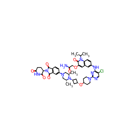 CC(C)n1c(=O)c(OCC(N)=O)cc2cc(Nc3nc(N4CCC(O[C@H]5C[C@H](N6[C@H](C)CN(c7ccc8c(c7)C(=O)N(C7CCC(=O)NC7=O)C8=O)C[C@H]6C)C5)CC4)ncc3Cl)ccc21